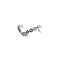 COC1CC2(C1)CN(Cc1cn3c(n1)COc1cc(-c4ccc(N5CCN(C(C)C)CC5)cc4)ccc1-3)C2